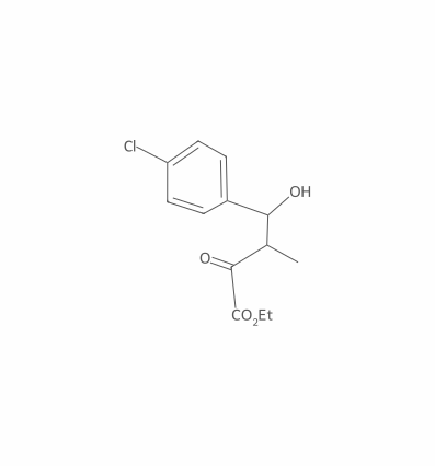 CCOC(=O)C(=O)C(C)C(O)c1ccc(Cl)cc1